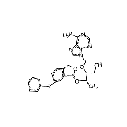 C[C@@H](OB1OCc2ccc(Sc3ccccc3)cc21)[C@@H](CO)OCn1cnc2c(N)ncnc21